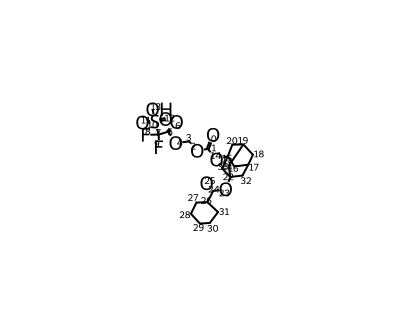 O=C(OCOC(=O)C(F)(F)S(=O)(=O)O)OC12CC3CC(C1)CC(OC(=O)C1CCCCC1)(C3)C2